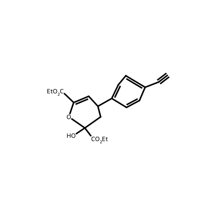 C#Cc1ccc(C2C=C(C(=O)OCC)OC(O)(C(=O)OCC)C2)cc1